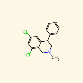 CN1Cc2c(Cl)cc(Cl)cc2C(c2cc[c]cc2)C1